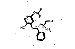 N#Cc1cnc(OC(F)F)cc1S[C@H](C[C@H](N)CO)c1ccccc1